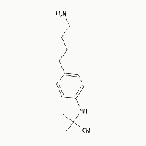 CC(C)(C#N)Nc1ccc(CCCCN)cc1